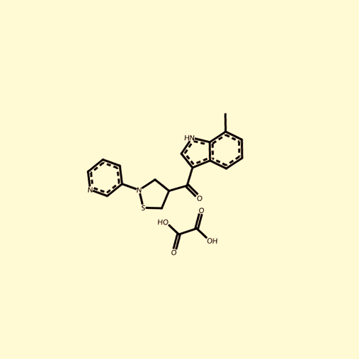 Cc1cccc2c(C(=O)C3CSN(c4cccnc4)C3)c[nH]c12.O=C(O)C(=O)O